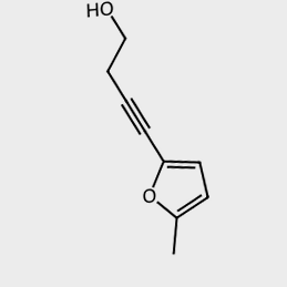 Cc1ccc(C#CCCO)o1